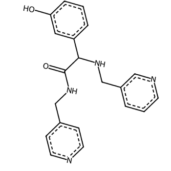 O=C(NCc1ccncc1)C(NCc1cccnc1)c1cccc(O)c1